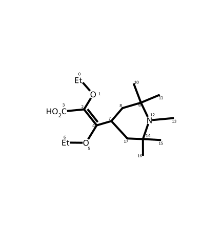 CCOC(C(=O)O)=C(OCC)C1CC(C)(C)N(C)C(C)(C)C1